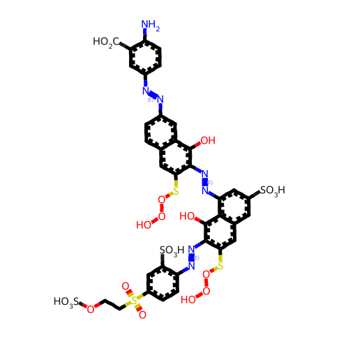 Nc1ccc(/N=N/c2ccc3cc(SOOO)c(/N=N/c4cc(S(=O)(=O)O)cc5cc(SOOO)c(/N=N/c6ccc(S(=O)(=O)CCOS(=O)(=O)O)cc6S(=O)(=O)O)c(O)c45)c(O)c3c2)cc1C(=O)O